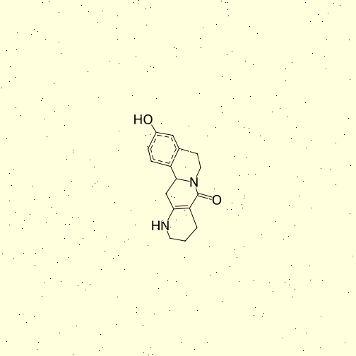 O=C1C2=C(CC3c4ccc(O)cc4CCN13)NCCC2